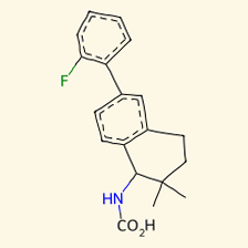 CC1(C)CCc2cc(-c3ccccc3F)ccc2C1NC(=O)O